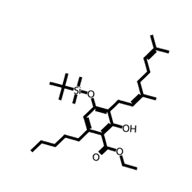 CCCCCc1cc(O[Si](C)(C)C(C)(C)C)c(CC=C(C)CCC=C(C)C)c(O)c1C(=O)OCC